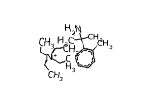 CC[N+](CC)(CC)CC.Cc1ccccc1C(C)(C)N